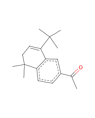 CC(=O)c1ccc2c(c1)C(C(C)(C)C)=CCC2(C)C